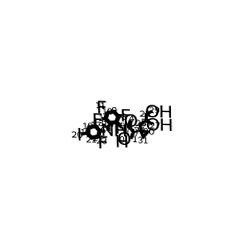 O=C[C@@H](C(=O)Nc1c(F)cc(F)c(F)c1Nc1ccc(I)cc1F)C1(CC(O)CO)CC1